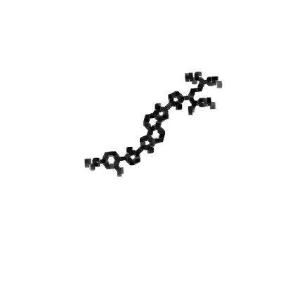 C=C(F)/C(=C\C=C(/C)C(F)(F)F)c1ccc(-c2cc3c(ccc4c5cc(-c6ccc(-c7ccc(C(F)(F)F)cc7F)s6)sc5ccc34)s2)s1